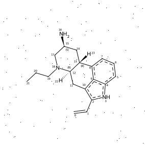 C=Cc1[nH]c2cccc3c2c1C[C@@H]1[C@@H]3C[C@H](N)CN1CCC